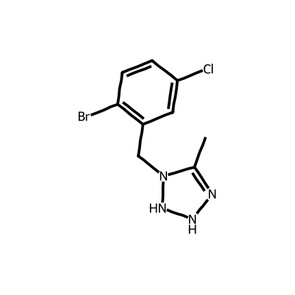 CC1=NNNN1Cc1cc(Cl)ccc1Br